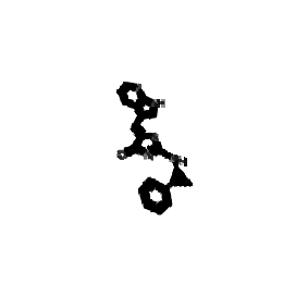 O=C1N=C(N[C@H]2C[C@@H]2c2ccccc2)S/C1=C\c1c[nH]c2ncccc12